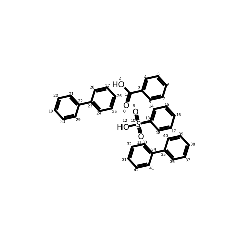 O=C(O)c1ccccc1.O=S(=O)(O)c1ccccc1.c1ccc(-c2ccccc2)cc1.c1ccc(-c2ccccc2)cc1